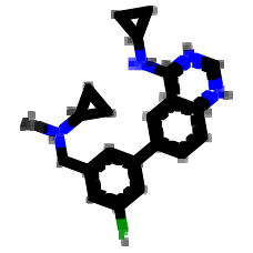 CC(=O)N(Cc1cc(F)cc(-c2ccc3ncnc(NC4CC4)c3c2)c1)C1CC1